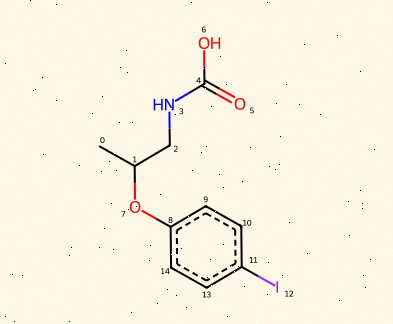 CC(CNC(=O)O)Oc1ccc(I)cc1